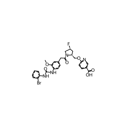 COc1cc(CC(=O)N2C[C@@H](F)C[C@H]2COc2ccc(C(=O)O)cn2)ccc1NC(=O)Nc1ccccc1Br